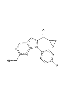 O=C(c1cc2cnc(CS)nc2n1-c1ccc(F)cc1)C1CO1